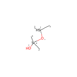 C[SiH](C)O[Si](C)(C)O